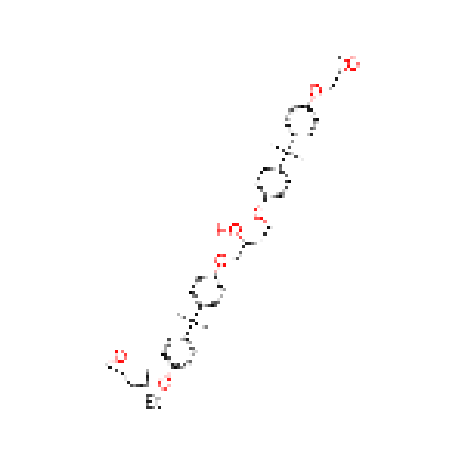 CCC(C)(CC1CO1)Oc1ccc(C(C)(C)c2ccc(OCC(O)CC(C)Oc3ccc(C(C)(C)c4ccc(OCC5CO5)cc4)cc3)cc2)cc1